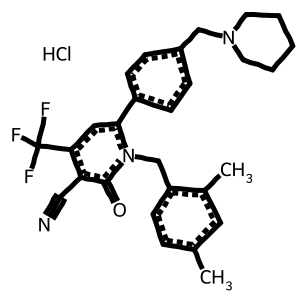 Cc1ccc(Cn2c(-c3ccc(CN4CCCCC4)cc3)cc(C(F)(F)F)c(C#N)c2=O)c(C)c1.Cl